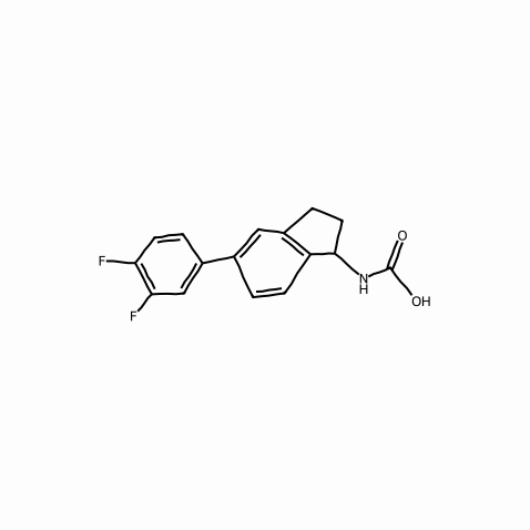 O=C(O)NC1CCc2cc(-c3ccc(F)c(F)c3)ccc21